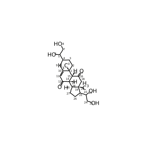 C[C@]12CCC(C(O)CO)CC1=CC(=O)[C@@H]1[C@H]2C(=O)C[C@]2(C)C(C(O)CO)CC[C@@H]12